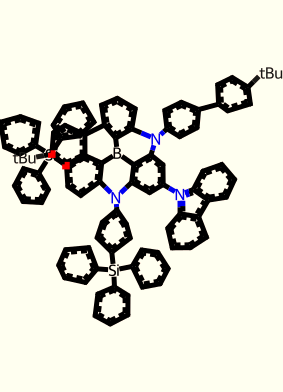 CC(C)(C)c1ccc(-c2ccc(N3c4cccc(-c5ccc(C(C)(C)C)cc5)c4B4c5cc([Si](c6ccccc6)(c6ccccc6)c6ccccc6)ccc5N(c5ccc([Si](c6ccccc6)(c6ccccc6)c6ccccc6)cc5)c5cc(-n6c7ccccc7c7ccccc76)cc3c54)cc2)cc1